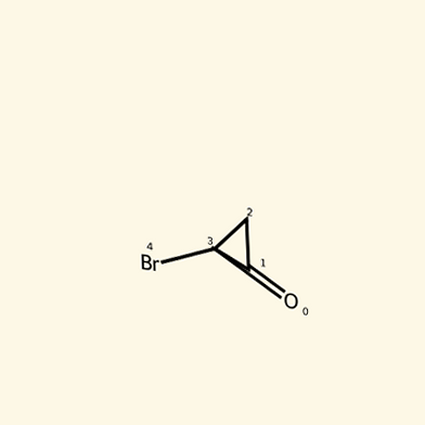 O=C1CC1Br